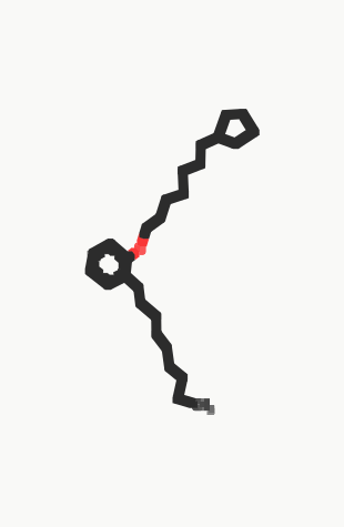 CCCCCCCCCc1cc[c]cc1OCCCCCCCC1CCCC1